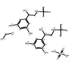 CC(C)(C)NCC(O)c1cc(O)cc(O)c1.CC(C)(C)NCC(O)c1cc(O)cc(O)c1.ClCCl.O=S(=O)(O)O